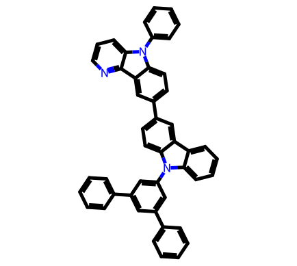 c1ccc(-c2cc(-c3ccccc3)cc(-n3c4ccccc4c4cc(-c5ccc6c(c5)c5ncccc5n6-c5ccccc5)ccc43)c2)cc1